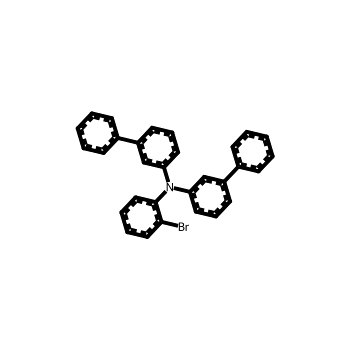 Brc1ccccc1N(c1cccc(-c2ccccc2)c1)c1cccc(-c2ccccc2)c1